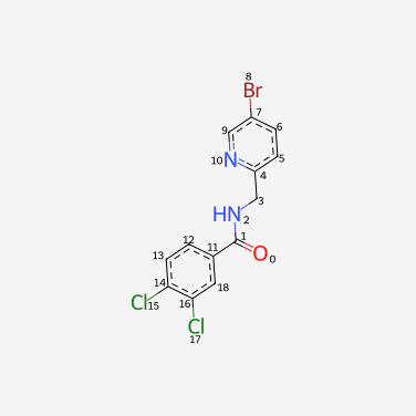 O=C(NCc1ccc(Br)cn1)c1ccc(Cl)c(Cl)c1